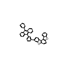 c1ccc(-c2c3ccccc3c(-c3cccc(-c4ccc5c(c4)oc4ccc6oc7ccccc7c6c45)c3)c3ccccc23)cc1